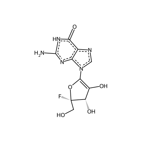 Nc1nc2c(ncn2C2=C(O)[C@H](O)[C@@](F)(CO)O2)c(=O)[nH]1